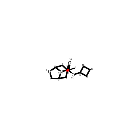 C[C@H]1CC2COC(C1)N2C(=O)OC1CCC1